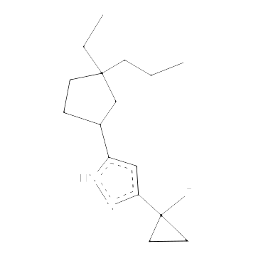 CCCC1(CC)CCC(c2cc(C3(F)CC3)n[nH]2)C1